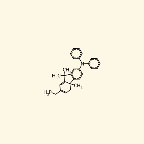 CC1(C)C2=CC(CP)=CCC2(C)c2ccc(N(c3ccccc3)c3ccccc3)cc21